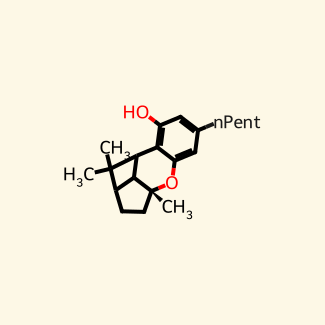 CCCCCc1cc(O)c2c(c1)O[C@]1(C)CCC3C1C2C3(C)C